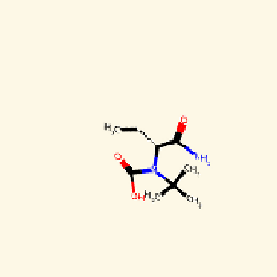 CC[C@H](C(N)=O)N(C(=O)O)C(C)(C)C